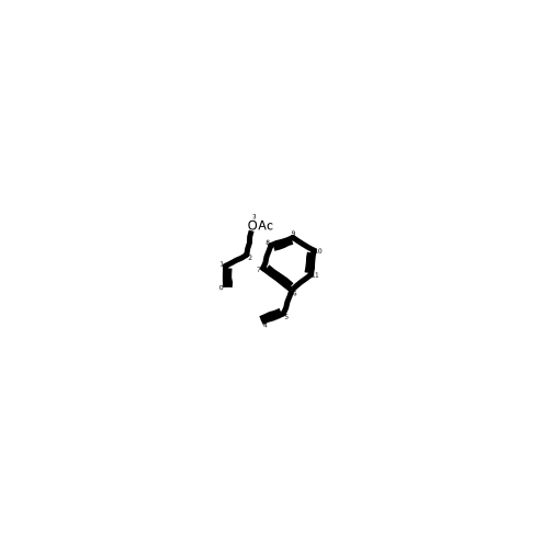 C=CCOC(C)=O.C=Cc1ccccc1